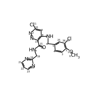 COc1ccc(CNc2cc(Cl)nnc2C(=O)NCc2ncccn2)cc1Cl